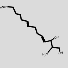 CCCCCCCCCCCCCC=CCCC=CC(O)C(N)CO